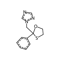 c1ccc(C2(Cn3cncn3)OCCS2)cc1